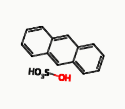 O=S(=O)(O)O.c1ccc2cc3ccccc3cc2c1